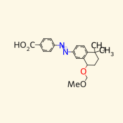 COCOC1CCC(C)(C)c2ccc(/N=N/c3ccc(C(=O)O)cc3)cc21